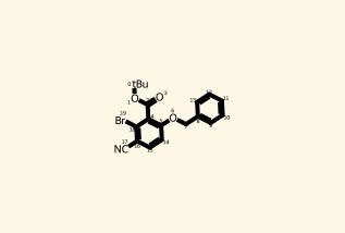 CC(C)(C)OC(=O)c1c(OCc2ccccc2)ccc(C#N)c1Br